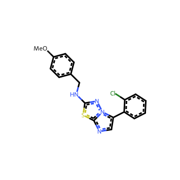 COc1ccc(CNc2nn3c(-c4ccccc4Cl)cnc3s2)cc1